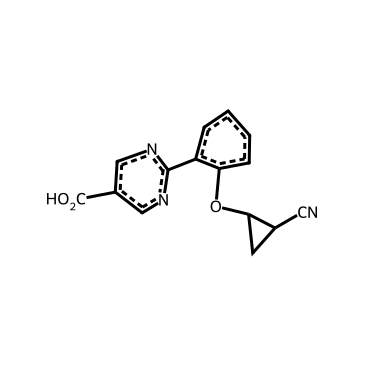 N#CC1CC1Oc1ccccc1-c1ncc(C(=O)O)cn1